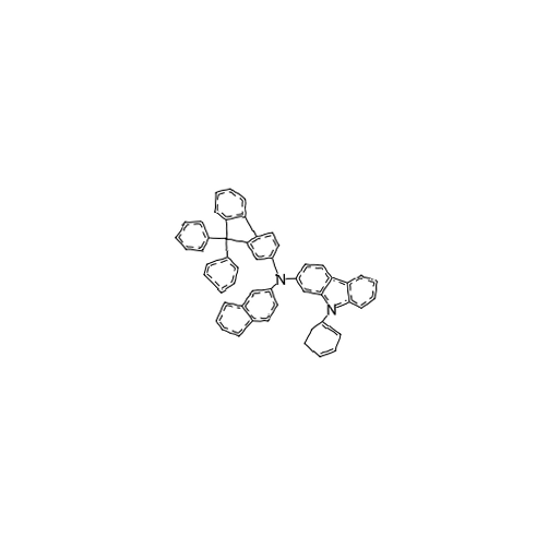 C1=CCCC(n2c3ccccc3c3ccc(N(c4ccc5c(c4)C(c4ccccc4)(c4ccccc4)c4ccccc4-5)c4ccc5ccccc5c4)cc32)=C1